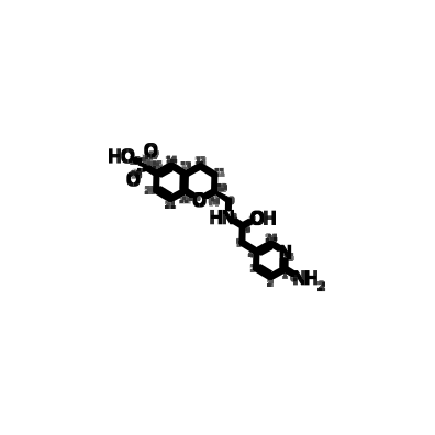 Nc1ccc(CC(O)NC[C@@H]2CCc3cc(S(=O)(=O)O)ccc3O2)cn1